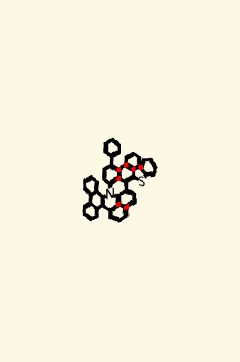 c1ccc(-c2ccc(N(c3ccccc3-c3cccc4c3sc3ccccc34)c3c(-c4ccccc4)c4ccccc4c4ccccc34)cc2-c2ccccc2)cc1